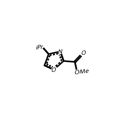 COC(=O)c1nc(C(C)C)co1